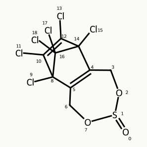 O=S1OCC2=C(CO1)C1(Cl)C(Cl)=C(Cl)C2(Cl)C1(Cl)Cl